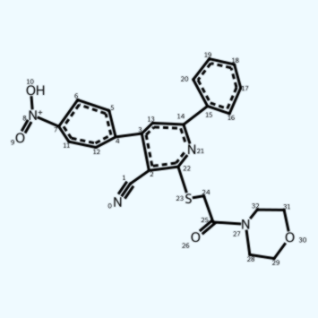 N#Cc1c(-c2ccc([N+](=O)O)cc2)cc(-c2ccccc2)nc1SCC(=O)N1CCOCC1